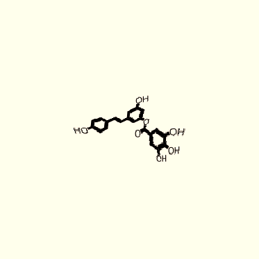 O=C(Oc1cc(O)cc(/C=C/c2ccc(O)cc2)c1)c1cc(O)c(O)c(O)c1